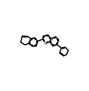 C1=CC(c2ccc3ccc(-c4ccc5c(c4)C=CCC5)nc3c2)=CCC1